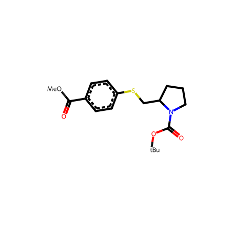 COC(=O)c1ccc(SCC2CCCN2C(=O)OC(C)(C)C)cc1